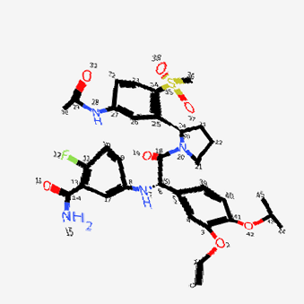 CCOc1cc([C@H](Nc2ccc(F)c(C(N)=O)c2)C(=O)N2CCC[C@@H]2c2cc(NC(C)=O)ccc2S(C)(=O)=O)ccc1OC(C)C